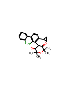 CC1(C)OC(C)(C)C(=O)C(c2c(C3CC3)ccc(-c3ccccc3F)c2Cl)C1=O